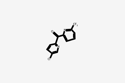 O=C(c1ccc(Cl)cn1)c1cccc(C(F)(F)F)n1